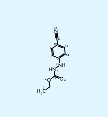 CCOC(=O)NNc1ccc(C#N)cc1